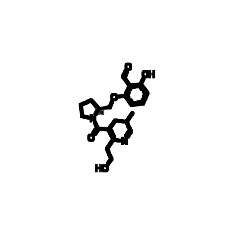 CC1C=NC(CCO)=C(C(=O)N2CCC[C@H]2COc2cccc(O)c2C=O)C1